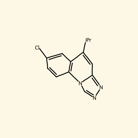 CC(C)c1cc2nncn2c2ccc(Cl)cc12